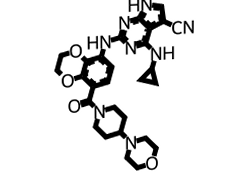 N#Cc1c[nH]c2nc(Nc3ccc(C(=O)N4CCC(N5CCOCC5)CC4)c4c3OCCO4)nc(NC3CC3)c12